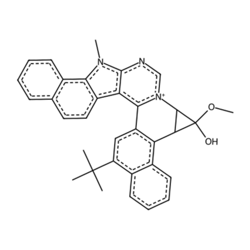 COC1(O)C2c3c(cc(C(C)(C)C)c4ccccc34)-c3c4c5ccc6ccccc6c5n(C)c4nc[n+]3C21